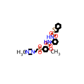 COc1ccc(S(=O)(=O)CCN2CCN(C)CC2)cc1S(=O)(=O)Nc1ccccc1NS(=O)(=O)c1cc2ccccc2s1